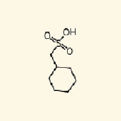 O=S(=O)(O)CC1CCCCC1